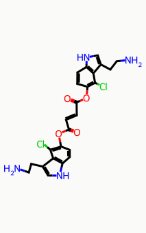 NCCc1c[nH]c2ccc(OC(=O)/C=C/C(=O)Oc3ccc4[nH]cc(CCN)c4c3Cl)c(Cl)c12